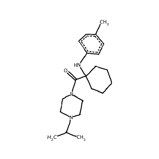 Cc1ccc(NC2(C(=O)N3CCN(C(C)C)CC3)CCCCC2)cc1